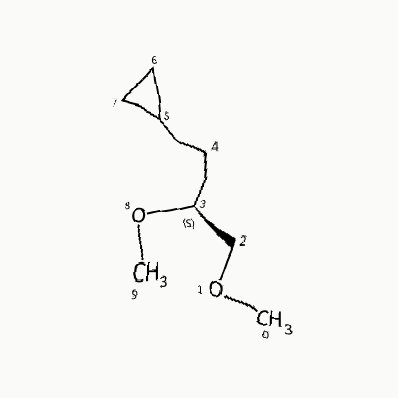 COC[C@H](CC1CC1)OC